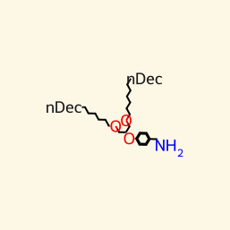 CCCCCCCCCCCCCCCCOCC(COCCCCCCCCCCCCCCCC)Oc1ccc(CN)cc1